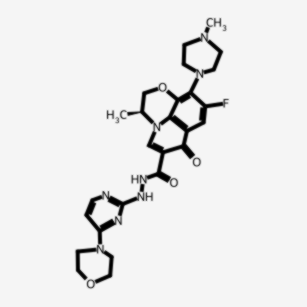 C[C@H]1COc2c(N3CCN(C)CC3)c(F)cc3c(=O)c(C(=O)NNc4nccc(N5CCOCC5)n4)cn1c23